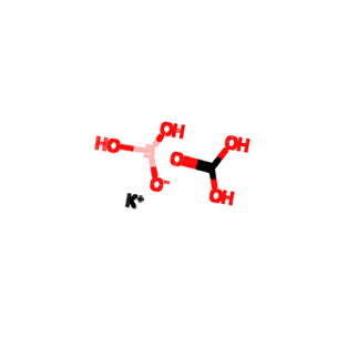 O=C(O)O.[K+].[O-]B(O)O